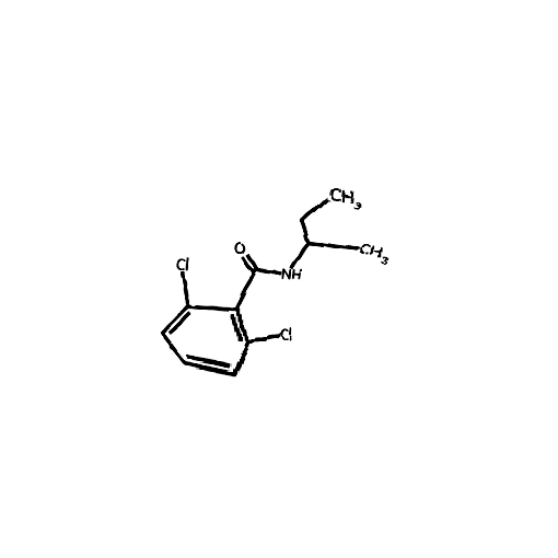 CCC(C)NC(=O)c1c(Cl)cccc1Cl